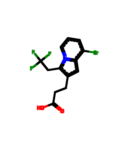 O=C(O)CCc1cc2c(Br)cccn2c1CC(F)(F)F